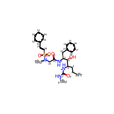 CC(C)CCC(NC(=O)NC(C)(C)C)[C@H](O)[C@H](Cc1ccccc1)NC(=O)CN(C(C)(C)C)S(=O)(=O)/C=C/c1ccccc1